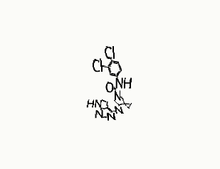 CN(c1ncnc2[nH]ccc12)C1CN(C(=O)Nc2ccc(Cl)c(Cl)c2)CC12CC2